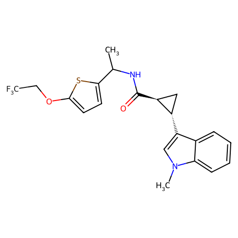 CC(NC(=O)[C@H]1C[C@@H]1c1cn(C)c2ccccc12)c1ccc(OCC(F)(F)F)s1